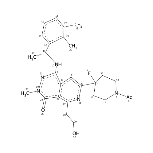 CC(=O)N1CCC(F)(c2cc3c(N[C@H](C)c4cccc(C(F)(F)F)c4C)nn(C)c(=O)c3c(CCO)n2)CC1